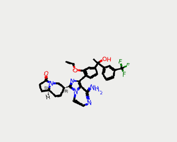 CCOc1cc(C(C)(O)c2cccc(C(F)(F)F)c2)ccc1-c1nc([C@@H]2CC[C@H]3CCC(=O)N3C2)n2ccnc(N)c12